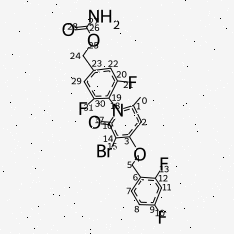 Cc1cc(OCc2ccc(F)cc2F)c(Br)c(=O)n1-c1c(F)cc(COC(N)=O)cc1F